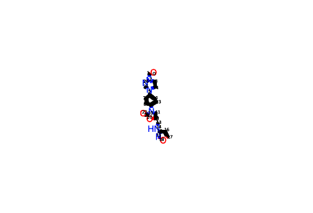 O=CN1CCN(c2ccc(N3C[C@H](CNc4ccon4)OC3=O)cc2)C=N1